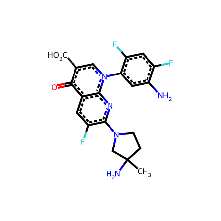 CC1(N)CCN(c2nc3c(cc2F)c(=O)c(C(=O)O)cn3-c2cc(N)c(F)cc2F)C1